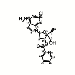 C#C[C@]1(CO)O[C@@H](n2ccc3c(N)nc(Cl)nc32)C[C@@H]1OC(=O)c1ccccn1